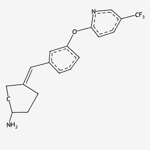 NC1CCC(=Cc2cccc(Oc3ccc(C(F)(F)F)cn3)c2)CC1